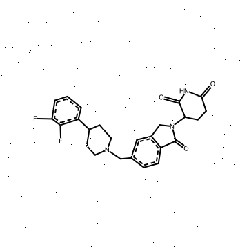 O=C1CCC(N2Cc3cc(CN4CCC(c5cccc(F)c5F)CC4)ccc3C2=O)C(=O)N1